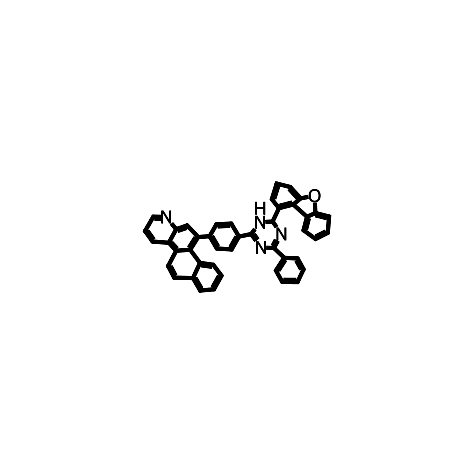 c1ccc(C2=NC(c3cccc4oc5ccccc5c34)NC(c3ccc(-c4cc5ncccc5c5ccc6ccccc6c45)cc3)=N2)cc1